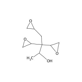 CC(O)C(CC1CO1)(C1CO1)C1CO1